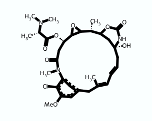 COc1cc2cc(c1Cl)N(C)C(=O)C[C@H](OC(=O)[C@H](C)N(C)C)C1OC1[C@H](C)C1C[C@](O)(C/C=C/C=C(\C)C2)NC(=O)O1